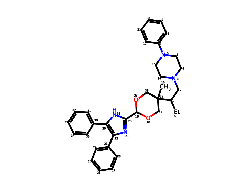 CCC(CN1CCN(c2ccccc2)CC1)C1(C)COC(c2nc(-c3ccccc3)c(-c3ccccc3)[nH]2)OC1